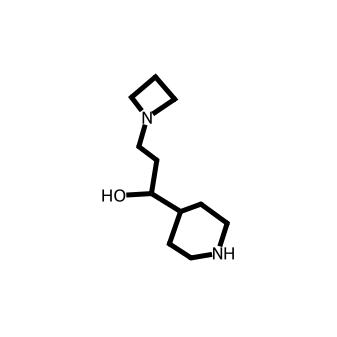 OC(CCN1CCC1)C1CCNCC1